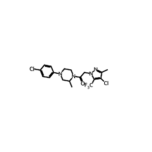 Cc1nn(CC(=O)N2CCN(c3ccc(Cl)cc3)CC2C)c(C(F)(F)F)c1Cl